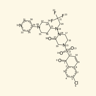 O=C1c2ccc(Cl)cc2C=CC1S(=O)(=O)N1CCN(N(CC(F)(F)F)C2CCN(c3ccncc3)CC2)C(=O)C1